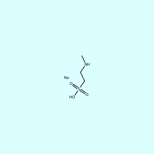 CNCCS(=O)(=O)O.[Na]